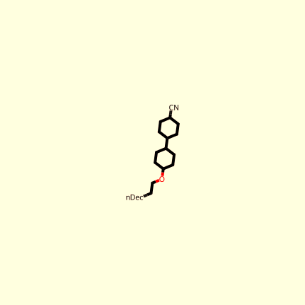 CCCCCCCCCCCCOC1CCC(C2CCC(C#N)CC2)CC1